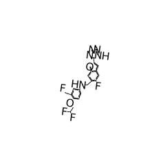 FCc1cc(NCc2cc3oc(-c4nnn[nH]4)cc3cc2F)ccc1OCC(F)F